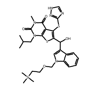 CC(C)Cn1c(=O)n(C)c(=O)c2c(Sc3nc[nH]n3)c(C(O)c3cn(COCC[Si](C)(C)C)c4ccccc34)sc21